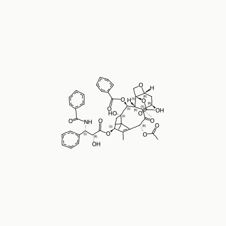 CC(=O)O[C@H]1C(=O)[C@]2(C)[C@H](O)C[C@H]3OC[C@@]3(OC(C)=O)[C@H]2[C@H](OC(=O)c2ccccc2)[C@]2(O)C[C@H](OC(=O)[C@H](O)[C@@H](NC(=O)c3ccccc3)c3ccccc3)C(C)=C1C2(C)C